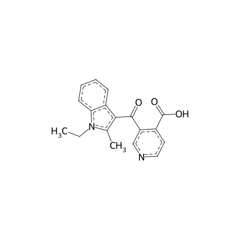 CCn1c(C)c(C(=O)c2cnccc2C(=O)O)c2ccccc21